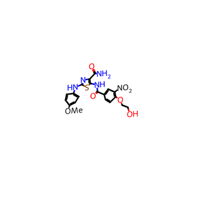 COc1ccc(Nc2nc(C(N)=O)c(NC(=O)c3ccc(OCCO)c([N+](=O)[O-])c3)s2)cc1